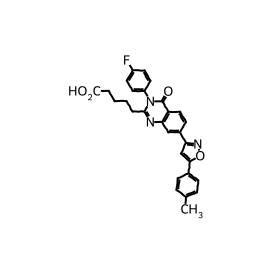 Cc1ccc(-c2cc(-c3ccc4c(=O)n(-c5ccc(F)cc5)c(CCCCC(=O)O)nc4c3)no2)cc1